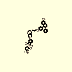 O=C1CCC(N2C(=O)c3ccc(N4CCC5(CC4)CN(CCCOc4ccc(C6c7ccc(O)cc7CC[C@@H]6c6ccccc6)cc4)CCO5)cc3C2=O)C(=O)N1